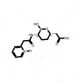 O=C(O)C[C@@H]1CC[C@H](NC(=O)Cc2cccc[n+]2[O-])B(O)O1